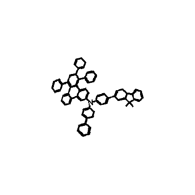 CC1(C)C2=CC(c3ccc(N(C4=CC=C(c5ccccc5)CC4)c4ccc5c6c(c7ccccc7c5c4)=C(c4ccccc4)CC(C4=CCCC=C4)C=6c4ccccc4)cc3)=CCC2c2ccccc21